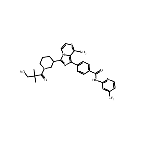 CC(C)(CO)C(=O)N1CCCC(c2nc(-c3ccc(C(=O)Nc4cc(C(F)(F)F)ccn4)cc3)c3c(N)nccn23)C1